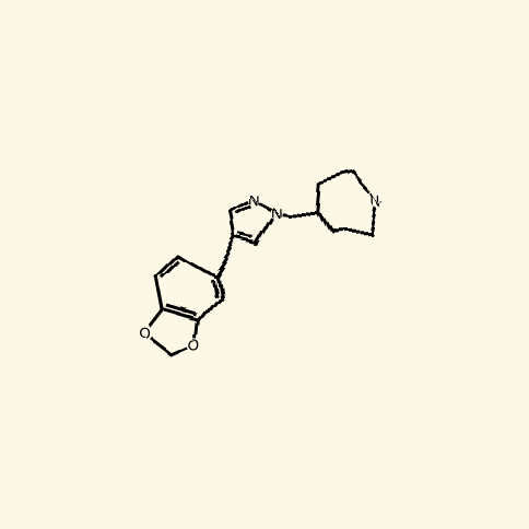 c1cc2c(cc1-c1cnn(C3CC[N]CC3)c1)OCO2